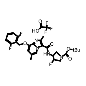 Cc1cc(OCc2c(F)cccc2F)c2nc(C)c(C(=O)NC3CN(C(=O)OC(C)(C)C)CC3F)n2c1.O=C(O)C(F)(F)F